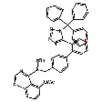 CCCCN(Cc1ccc(-c2ccccc2-c2nnnn2C(c2ccccc2)(c2ccccc2)c2ccccc2)cc1)c1ncnc2cccc(OC)c12